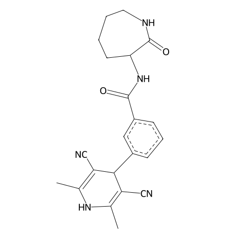 CC1=C(C#N)C(c2cccc(C(=O)NC3CCCCNC3=O)c2)C(C#N)=C(C)N1